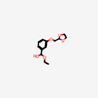 CCOC(O)c1cccc(OCC2OCCO2)c1